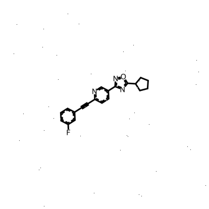 Fc1cccc(C#Cc2ccc(-c3noc(C4CCCC4)n3)cn2)c1